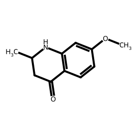 COc1ccc2c(c1)NC(C)CC2=O